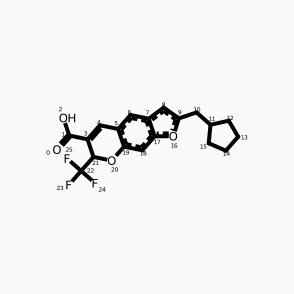 O=C(O)C1=Cc2cc3cc(CC4CCCC4)oc3cc2OC1C(F)(F)F